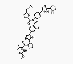 COC(=O)N[C@H](C(=O)N1CCCC1c1ncc(-c2cc(F)c3c(c2)OC(c2ccc(CC4CC4)s2)n2c-3cc3cc(-c4cnc(C5CCCN5)[nH]4)ccc32)[nH]1)C(C)C